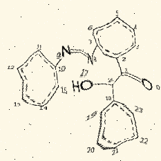 O=C(c1ccccc1N=Nc1ccccc1)C(O)c1ccccc1